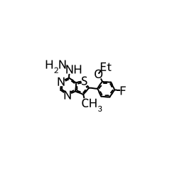 CCOc1cc(F)ccc1-c1sc2c(NN)ncnc2c1C